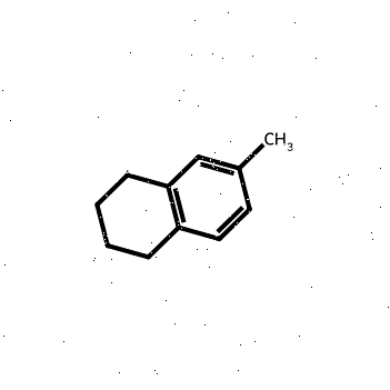 Cc1ccc2c(c1)[CH]CCC2